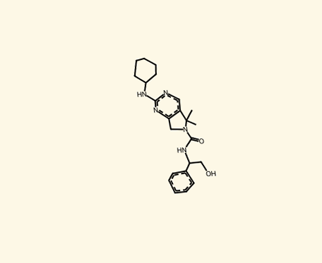 CC1(C)c2cnc(NC3CCCCC3)nc2CN1C(=O)NC(CO)c1ccccc1